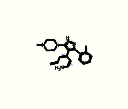 C=C/C=C(\C=C/N)c1c(-c2ccccc2C)n[nH]c1N1CCN(C)CC1